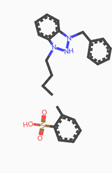 CCCCN1NN(Cc2ccccc2)c2ccccc21.Cc1ccccc1S(=O)(=O)O